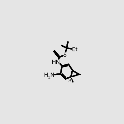 C=C(NC1=CC2C[C@]2(C)C=C1N)SC(C)(C)CC